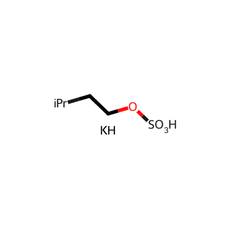 CC(C)CCOS(=O)(=O)O.[KH]